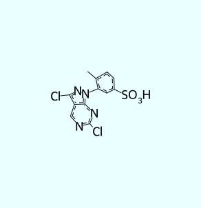 Cc1ccc(S(=O)(=O)O)cc1-n1nc(Cl)c2cnc(Cl)nc21